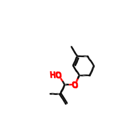 C=C(C)C(O)OC1C=C(C)CCC1